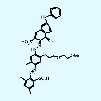 COCCOCCOc1cc(/N=N/c2c(C)cc(C)cc2S(=O)(=O)O)c(C)cc1N/N=C1/C(=O)c2ccc(Nc3ccccc3)cc2C=C1S(=O)(=O)O